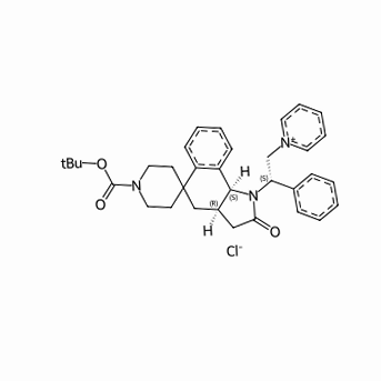 CC(C)(C)OC(=O)N1CCC2(CC1)C[C@@H]1CC(=O)N([C@H](C[n+]3ccccc3)c3ccccc3)[C@@H]1c1ccccc12.[Cl-]